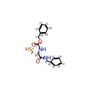 O=C(N[C@@H](CS)C(=O)NCc1ccccc1)OCc1ccccc1